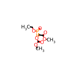 CCO[PH](=O)C(OC(=O)OC)C(=O)OC